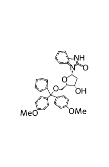 COc1ccc(C(OC[C@H]2O[C@@H](n3c(=O)[nH]c4ccccc43)C[C@@H]2O)(c2ccccc2)c2ccc(OC)cc2)cc1